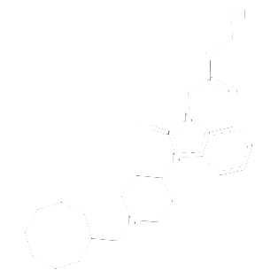 CCOC(=O)Cn1c(=O)n(C2CCN(CC3CCCCCCC3)CC2)c2ccccc21